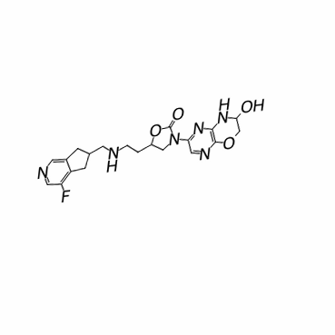 O=C1OC(CCNCC2Cc3cncc(F)c3C2)CN1c1cnc2c(n1)NC(O)CO2